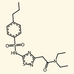 CCCc1ccc(S(=O)(=O)Nc2nc(CC(=O)N(CC)CC)ns2)cc1